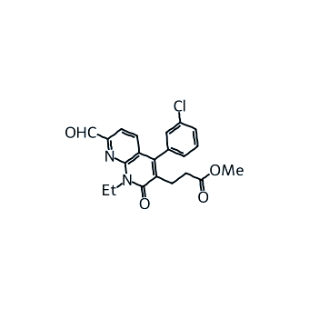 CCn1c(=O)c(CCC(=O)OC)c(-c2cccc(Cl)c2)c2ccc(C=O)nc21